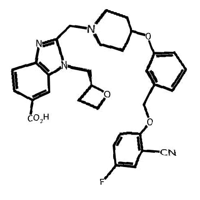 N#Cc1cc(F)ccc1OCc1cccc(OC2CCN(Cc3nc4ccc(C(=O)O)cc4n3C[C@@H]3CCO3)CC2)c1